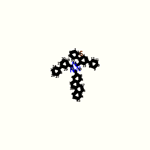 C1=CC2Sc3cc(-c4ccccc4)cc(-c4nc(-c5cccc(-c6ccccc6)c5)nc(-c5ccc6c(ccc7c8ccccc8ccc67)c5)n4)c3C2C=C1